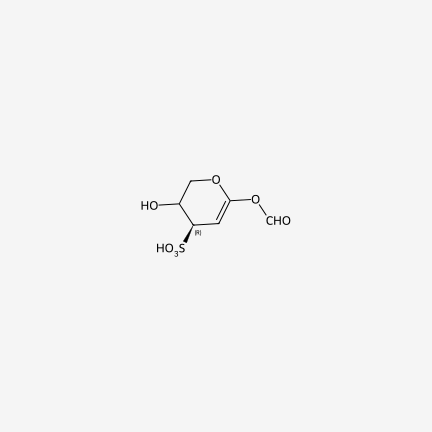 O=COC1=C[C@@H](S(=O)(=O)O)C(O)CO1